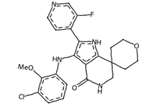 COc1c(Cl)cccc1Nc1c(-c2ccncc2F)[nH]c2c1C(=O)NCC21CCOCC1